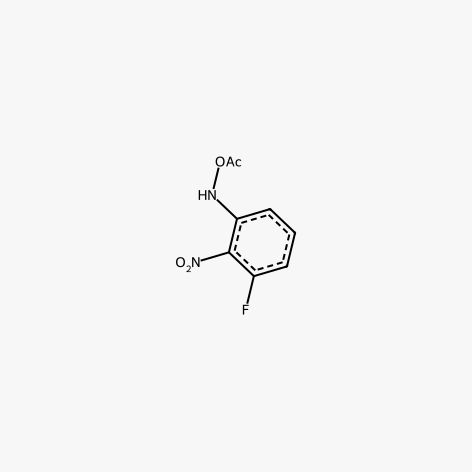 CC(=O)ONc1cccc(F)c1[N+](=O)[O-]